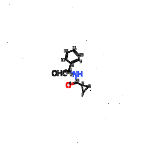 O=C[C@H](NC(=O)C1CC1)c1ccccc1